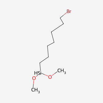 CO[SiH](CCCCCCCBr)OC